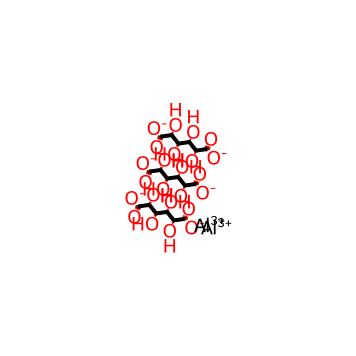 O=C([O-])[C@@H](O)[C@H](O)[C@H](O)[C@@H](O)C(=O)[O-].O=C([O-])[C@@H](O)[C@H](O)[C@H](O)[C@@H](O)C(=O)[O-].O=C([O-])[C@@H](O)[C@H](O)[C@H](O)[C@@H](O)C(=O)[O-].[Al+3].[Al+3]